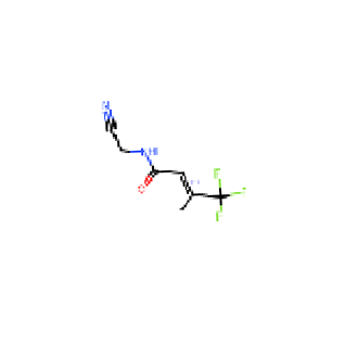 C/C(=C\C(=O)NCC#N)C(F)(F)F